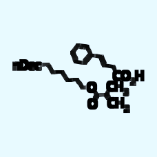 C=C(C)C(=O)OCCCCCCCCCCCCCCCC.O=C(O)CC=Cc1ccccc1